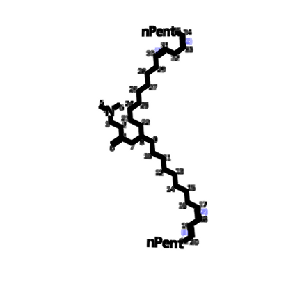 C=C(CCN(C)C)CC(CCCCCCCC/C=C\C=C\CCCCC)CCCCCCCC/C=C\C/C=C\CCCCC